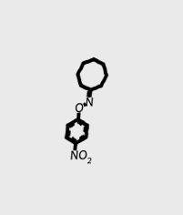 O=[N+]([O-])c1ccc(ON=C2CCCCCCC2)cc1